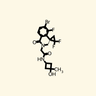 CC1(O)CC(NC(=O)CN2C[C@@]3(CC3(F)F)c3c(ccc(Br)c3F)C2=O)C1